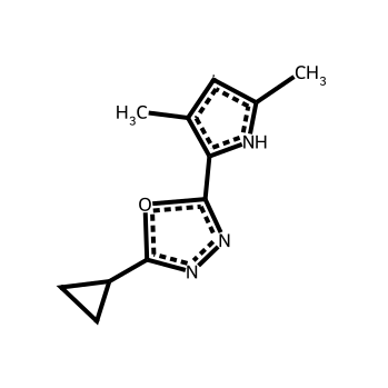 Cc1[c]c(C)c(-c2nnc(C3CC3)o2)[nH]1